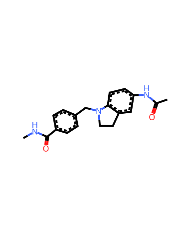 CNC(=O)c1ccc(CN2CCc3cc(NC(C)=O)ccc32)cc1